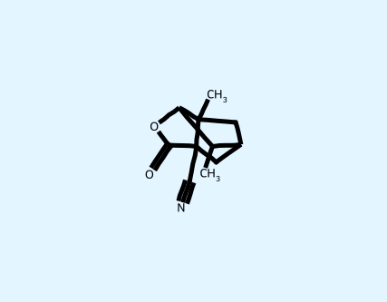 CC1C2CC3(C#N)C(=O)OC1C3(C)C2